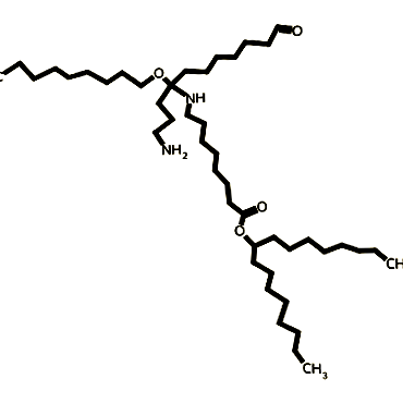 CCCCCCCCCOC(CCCN)(CCCCCCC=O)NCCCCCCCC(=O)OC(CCCCCCCC)CCCCCCCC